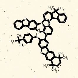 CC(C)(C)c1ccc(Nc2cc3sc4cc5c(cc4c3cc2-c2ccc3c4c6c(ccc4n4c3c2Bc2cc3c(cc2-4)oc2ccccc23)C(C)(C)c2ccccc2-6)C(C)(C)CCC5(C)C)cc1